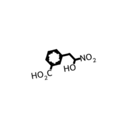 O=C(O)c1cccc(CC(O)[N+](=O)[O-])c1